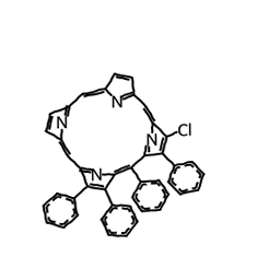 ClC1=C(c2ccccc2)C2=NC1=CC1=NC(=CC3=NC(=CC4=NC(=C2c2ccccc2)C(c2ccccc2)=C4c2ccccc2)C=C3)C=C1